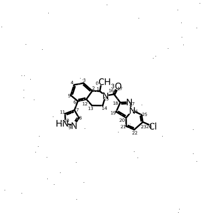 CC1c2cccc(-c3cn[nH]c3)c2CCN1C(=O)c1cc2ccc(Cl)cn2n1